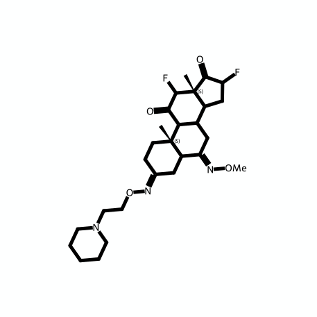 CON=C1CC2C(C(=O)C(F)[C@]3(C)C(=O)C(F)CC23)[C@@]2(C)CCC(=NOCCN3CCCCC3)CC12